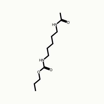 CCCOC(=O)NCCCCCNC(C)=O